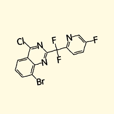 Fc1ccc(C(F)(F)c2nc(Cl)c3cccc(Br)c3n2)nc1